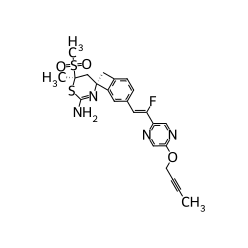 CC#CCOc1cnc(/C(F)=C/c2ccc3c(c2)[C@]2(C3)C[C@](C)(S(C)(=O)=O)SC(N)=N2)cn1